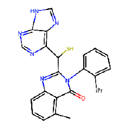 Cc1cccc2nc(C(S)c3ncnc4[nH]cnc34)n(-c3ccccc3C(C)C)c(=O)c12